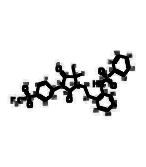 CC1(C)C(=O)N(c2ccc(S(=O)(=O)C(F)(F)F)cc2)C(=O)N1CCc1ccncc1NS(=O)(=O)c1ccccc1